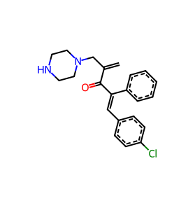 C=C(CN1CCNCC1)C(=O)/C(=C/c1ccc(Cl)cc1)c1ccccc1